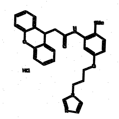 CSc1ccc(OCCCn2ccnc2)cc1NC(=O)CC1c2ccccc2Oc2ccccc21.Cl